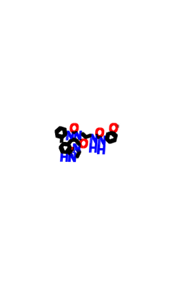 COc1cccc(NC(=O)NCCCn2c(C(=O)N3CCNCC3)c(-c3ccccc3)n(-c3ccccc3C)c2=O)c1